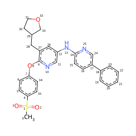 CS(=O)(=O)c1ccc(Oc2ncc(Nc3ccc(-c4ccccc4)cn3)cc2CC2CCOC2)cc1